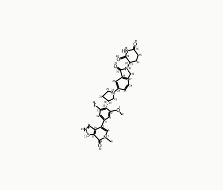 COc1cc(-c2cn(C)c(=O)c3sncc23)cc(F)c1[C@@H]1CCN(c2ccc3c(c2)C(=O)N([C@@H]2CCC(=O)NC2=O)C3)C1